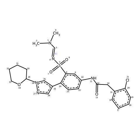 CN(C)/C=N/S(=O)(=O)c1cc(NC(=O)Cc2ccccc2Cl)ccc1-c1cnn(C2CCCCO2)c1